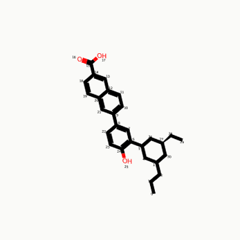 CCCC1CC(c2cc(-c3ccc4cc(C(=O)O)ccc4c3)ccc2O)C[C@@H](CC)C1